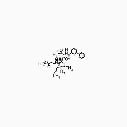 CCCCOB([C@H](CC(C)C)NC(=O)[C@@H](NC(=O)c1cccc(-c2ccccc2)n1)[C@@H](C)O)N(C)CCC(=O)OC